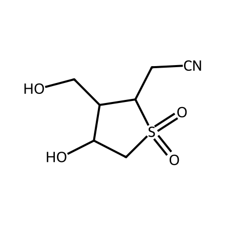 N#CCC1C(CO)C(O)CS1(=O)=O